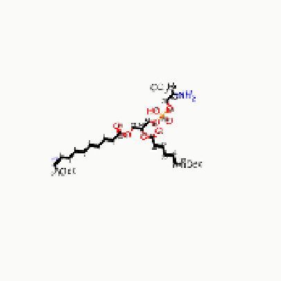 CCCCCCCC/C=C\CCCCCCCC(=O)OCC(COP(=O)(O)OCC(N)C(=O)O)OC(=O)CCCCCCCCCCCCCCC